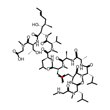 C/C=C/C[C@@H](C)[C@@H](O)[C@@H](C(=O)N[C@H](C(=O)N(C)CC(=O)O)[C@@H](C)O)N(C)C(=O)[C@H](C(C)C)N(C)C(=O)[C@H](CC(C)C)NC(=O)[C@H](CC(C)C)N(C)C(=O)[C@@H](C)NC(=O)[C@H](C)NC(=O)[C@H](CC(C)C)N(C)C(=O)[C@H](CC(C)C)NC(=O)[C@H](CC(C)C)N(C)C(=O)CNC